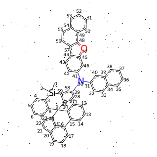 C[Si]1(C)c2ccccc2C2(c3ccccc3-c3cccc4cccc2c34)c2ccc(N(c3ccc4ccccc4c3)c3ccc4c(c3)oc3c5ccccc5ccc43)cc21